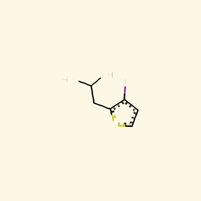 CC(C)Cc1sccc1I